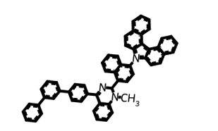 CN1c2ccccc2C(c2ccc(-c3cccc(-c4ccccc4)c3)cc2)=NC1c1ccc(-n2c3ccc4ccccc4c3c3c4ccccc4ccc32)c2ccccc12